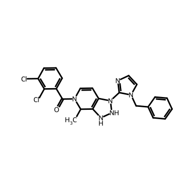 CC1C2=C(C=CN1C(=O)c1cccc(Cl)c1Cl)N(c1nccn1Cc1ccccc1)NN2